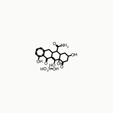 NC(=O)C1C2Cc3cccc(O)c3C(=O)C2=C(O)C2(O)C(=O)CC(O)CC12.O=S(=O)(O)O